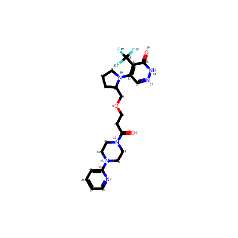 O=C(CCOCC1CCCN1c1cn[nH]c(=O)c1C(F)(F)F)N1CCN(c2ccccn2)CC1